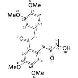 COc1ccc(CC(=O)c2cc(OC)c(OC)cc2CC(=O)NO)cc1OC